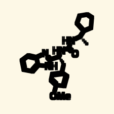 COc1ccc(C[C@@H](NC(=O)N[C@@H](C)C2CCCCC2)c2nc3ccccc3[nH]2)cc1